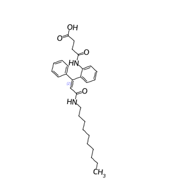 CCCCCCCCCCNC(=O)/C=C(/c1ccccc1)c1ccccc1NC(=O)CCC(=O)O